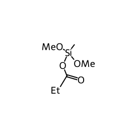 CCC(=O)O[Si](C)(OC)OC